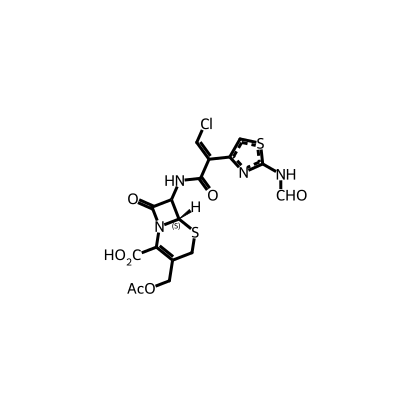 CC(=O)OCC1=C(C(=O)O)N2C(=O)C(NC(=O)C(=CCl)c3csc(NC=O)n3)[C@@H]2SC1